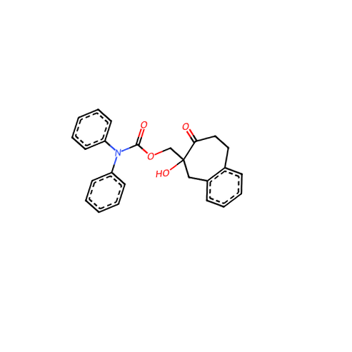 O=C(OCC1(O)Cc2ccccc2CCC1=O)N(c1ccccc1)c1ccccc1